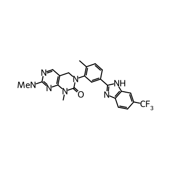 CNc1ncc2c(n1)N(C)C(=O)N(c1cc(-c3nc4ccc(C(F)(F)F)cc4[nH]3)ccc1C)C2